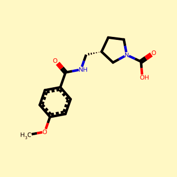 COc1ccc(C(=O)NC[C@@H]2CCN(C(=O)O)C2)cc1